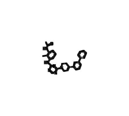 CC(=O)Nc1cccc(Nc2ncnc(N3CC=C(c4cccc(-c5ccccc5)c4)CC3)n2)c1C